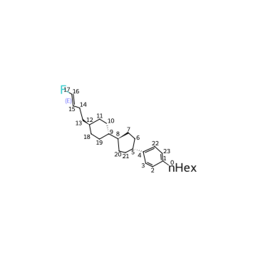 CCCCCCc1ccc([C@H]2CC[C@H]([C@H]3CC[C@H](CC/C=C/F)CC3)CC2)cc1